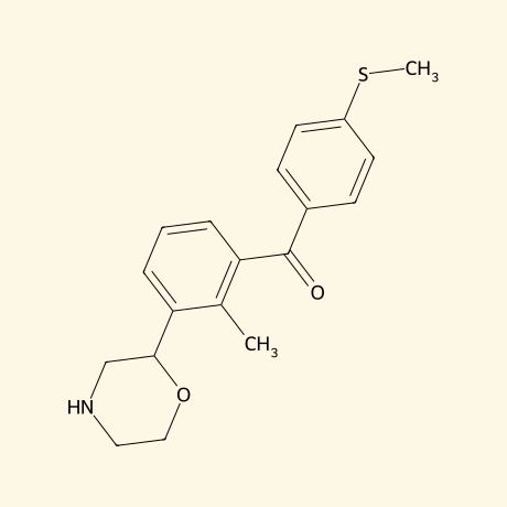 CSc1ccc(C(=O)c2cccc(C3CNCCO3)c2C)cc1